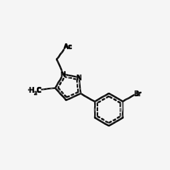 [CH2]c1cc(-c2cccc(Br)c2)nn1CC(C)=O